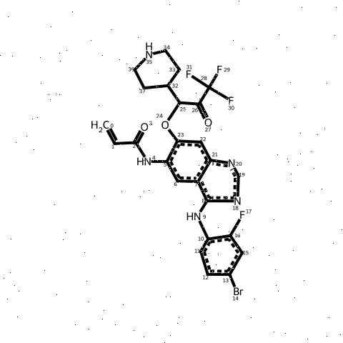 C=CC(=O)Nc1cc2c(Nc3ccc(Br)cc3F)ncnc2cc1OC(C(=O)C(F)(F)F)C1CCNCC1